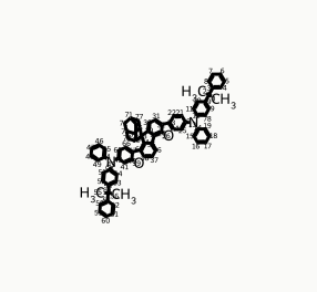 CC(C)(c1ccccc1)c1ccc(N(c2ccccc2)c2ccc3c(c2)oc2c4c(ccc23)C2(c3c-4ccc4oc5cc(N(c6ccccc6)c6ccc(C(C)(C)c7ccccc7)cc6)ccc5c34)C3CC4CC(C3)CC2C4)cc1